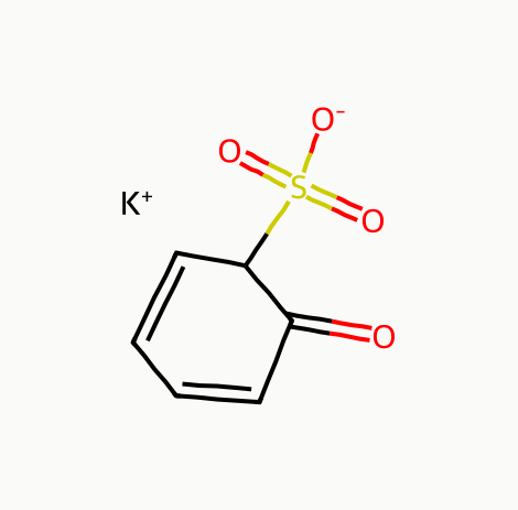 O=C1C=CC=CC1S(=O)(=O)[O-].[K+]